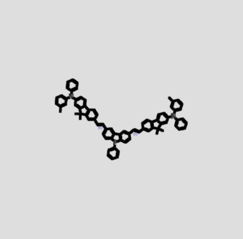 Cc1cccc(N(c2ccccc2)c2ccc3c(c2)C(C)(C)c2cc(/C=C/c4ccc5c(c4)c4cc(/C=C/c6ccc7c(c6)C(C)(C)c6cc(N(c8ccccc8)c8cccc(C)c8)ccc6-7)ccc4p5-c4ccccc4)ccc2-3)c1